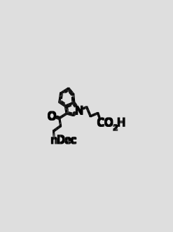 CCCCCCCCCCCCC(=O)c1cn(CCCC(=O)O)c2ccccc12